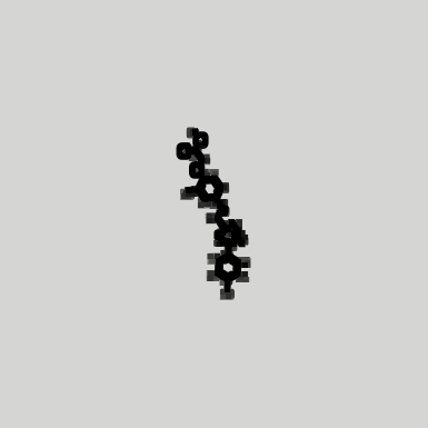 COC(=O)COc1ccc(SCc2nnc(-c3ccc(C)cc3)s2)cc1C